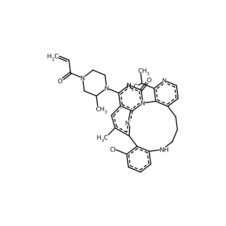 C=CC(=O)N1CCN(c2nc(=O)n3c4nc(c(C)cc24)-c2c(Cl)cccc2NCCCc2ccnc(C(C)C)c2-3)C(C)C1